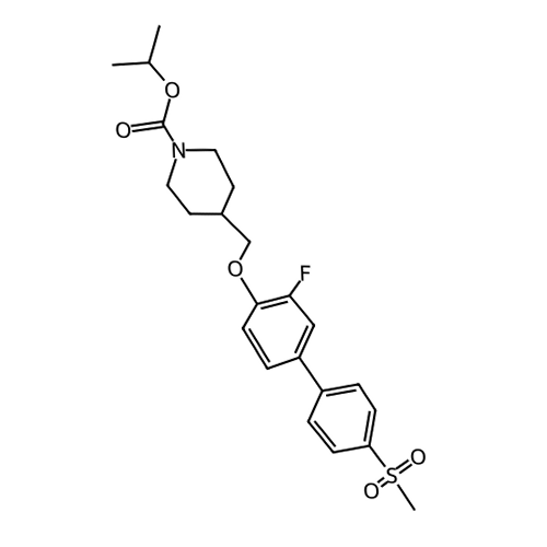 CC(C)OC(=O)N1CCC(COc2ccc(-c3ccc(S(C)(=O)=O)cc3)cc2F)CC1